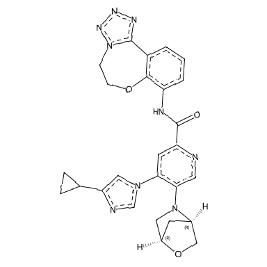 O=C(Nc1cccc2c1OCCn1nnnc1-2)c1cc(-n2cnc(C3CC3)c2)c(N2C[C@H]3C[C@@H]2CO3)cn1